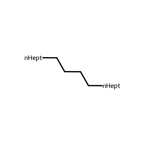 [CH]CCCCCCCCCCCCCCCC[CH2]